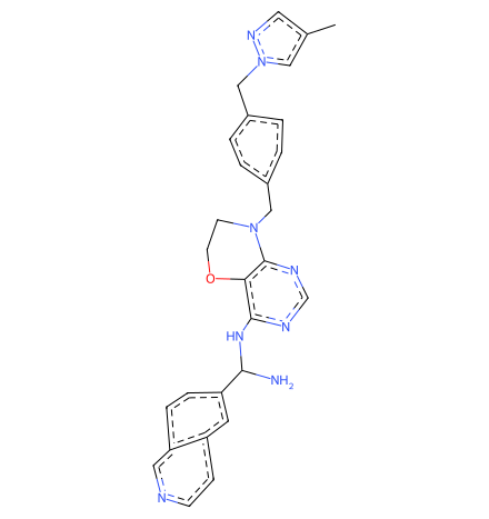 Cc1cnn(Cc2ccc(CN3CCOc4c(NC(N)c5ccc6cnccc6c5)ncnc43)cc2)c1